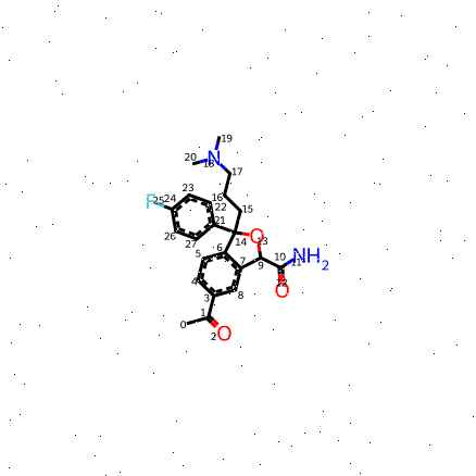 CC(=O)c1ccc2c(c1)C(C(N)=O)OC2(CCCN(C)C)c1ccc(F)cc1